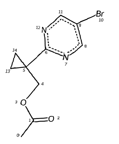 CC(=O)OCC1(c2ncc(Br)cn2)CC1